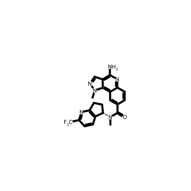 CN(C(=O)c1ccc2nc(N)c3cnn(C)c3c2c1)[C@H]1CCc2nc(C(F)(F)F)ccc21